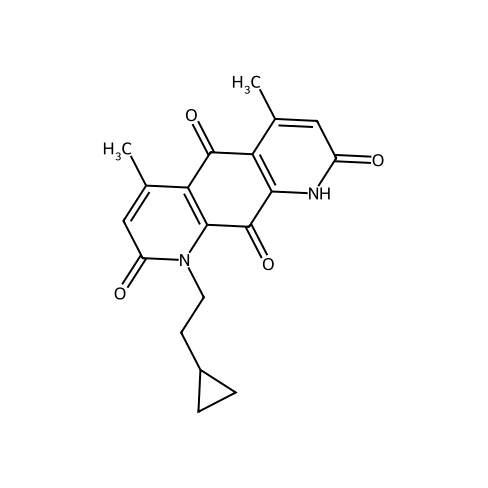 Cc1cc(=O)[nH]c2c1C(=O)c1c(C)cc(=O)n(CCC3CC3)c1C2=O